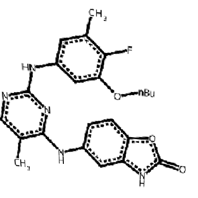 CCCCOc1cc(Nc2ncc(C)c(Nc3ccc4oc(=O)[nH]c4c3)n2)cc(C)c1F